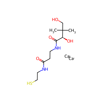 CC(C)(CO)[C@@H](O)C(=O)NCCC(=O)NCCS.[Ca].[Ca]